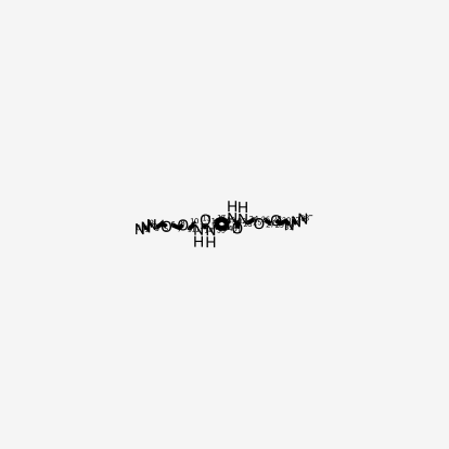 [N-]=[N+]=NCCOCCOCCNC(=O)Nc1ccc(NC(=O)NCCOCCOCCN=[N+]=[N-])cc1